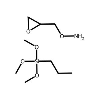 CCC[Si](OC)(OC)OC.NOCC1CO1